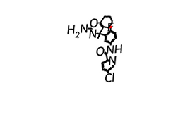 CC1(c2cc(NC(=O)c3ccc(Cl)cn3)ccc2F)N=C(N)OC2=C1CCCC2